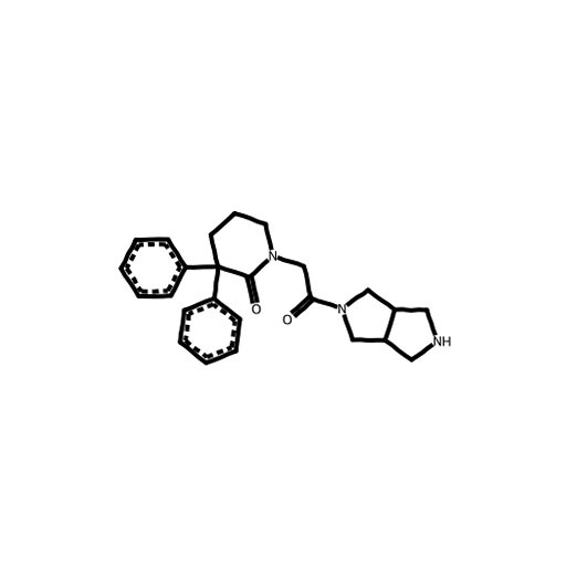 O=C(CN1CCCC(c2ccccc2)(c2ccccc2)C1=O)N1CC2CNCC2C1